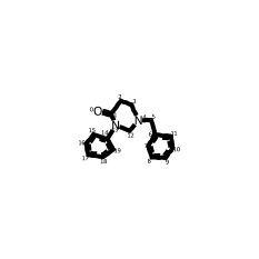 O=C1CCN(Cc2ccccc2)CN1c1ccccc1